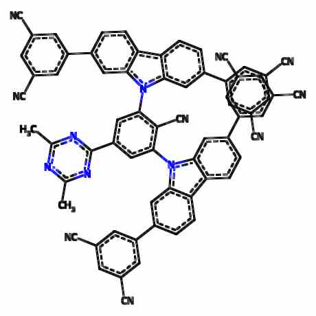 Cc1nc(C)nc(-c2cc(-n3c4cc(-c5cc(C#N)cc(C#N)c5)ccc4c4ccc(-c5cc(C#N)cc(C#N)c5)cc43)c(C#N)c(-n3c4cc(-c5cc(C#N)cc(C#N)c5)ccc4c4ccc(-c5cc(C#N)cc(C#N)c5)cc43)c2)n1